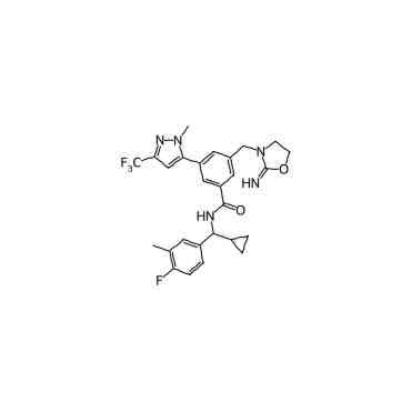 Cc1cc(C(NC(=O)c2cc(CN3CCOC3=N)cc(-c3cc(C(F)(F)F)nn3C)c2)C2CC2)ccc1F